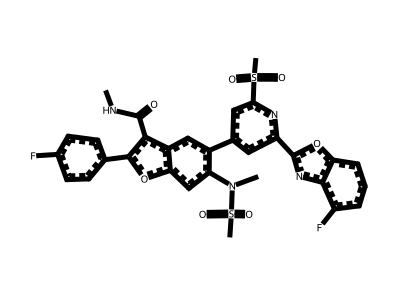 CNC(=O)c1c(-c2ccc(F)cc2)oc2cc(N(C)S(C)(=O)=O)c(-c3cc(-c4nc5c(F)cccc5o4)nc(S(C)(=O)=O)c3)cc12